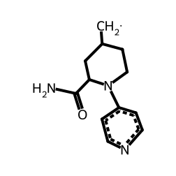 [CH2]C1CCN(c2ccncc2)C(C(N)=O)C1